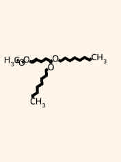 CCCCCCCCOC(CCC=COOC)OCCCCCCCC